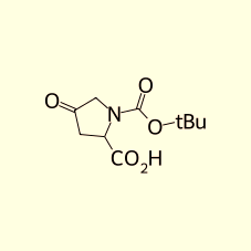 CC(C)(C)OC(=O)N1CC(=O)CC1C(=O)O